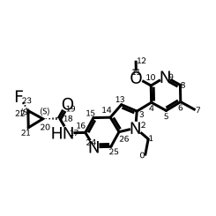 CCn1c(-c2cc(C)cnc2OC)cc2cc(NC(=O)[C@@H]3C[C@@H]3F)ncc21